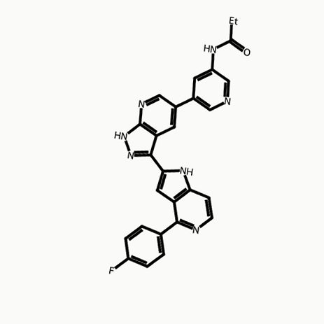 CCC(=O)Nc1cncc(-c2cnc3[nH]nc(-c4cc5c(-c6ccc(F)cc6)nccc5[nH]4)c3c2)c1